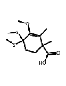 COC1=C(C)C(C)(C(=O)O)CCC1(SC)SC